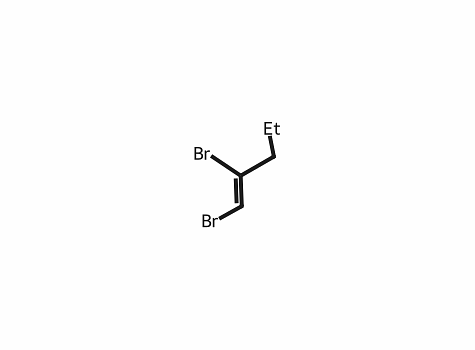 CCCC(Br)=CBr